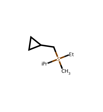 CCS(C)(CC1CC1)C(C)C